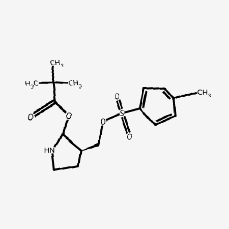 Cc1ccc(S(=O)(=O)OC[C@H]2CCNC2OC(=O)C(C)(C)C)cc1